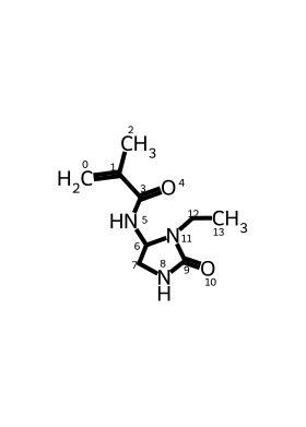 C=C(C)C(=O)NC1CNC(=O)N1CC